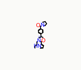 C/C=C/CN(/C=C(\C)c1ccc(C(=O)N2CCCC2)cc1)C(=O)c1ccc[nH]1